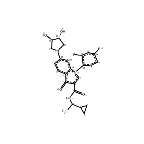 O=C(NC(C1CC1)C(F)(F)F)c1cn(-c2ncc(F)cc2F)c2nc(N3C[C@@H](O)[C@H](O)C3)ccc2c1=O